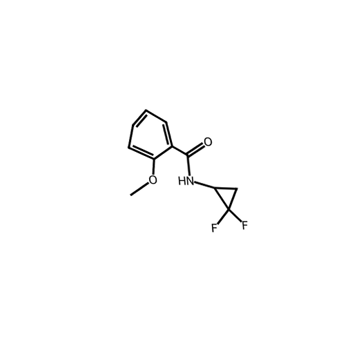 COc1ccccc1C(=O)NC1CC1(F)F